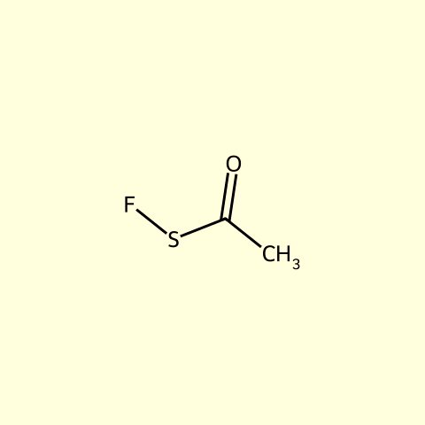 CC(=O)SF